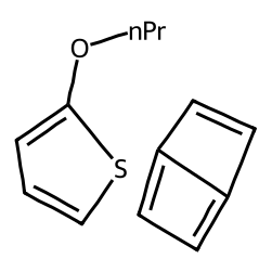 CCCOc1cccs1.c1cc2ccc1-2